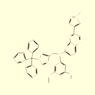 COc1cc(OC)cc(N(Cc2ncn(C(c3ccccc3)(c3ccccc3)c3ccccc3)n2)c2ccc3ncc(-c4cnn(C)c4)nc3n2)c1